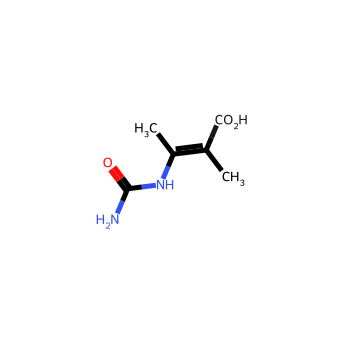 C/C(NC(N)=O)=C(/C)C(=O)O